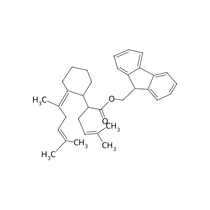 CC(C)=CC/C(C)=C1/CCCCC1C(CC=C(C)C)C(=O)OCC1c2ccccc2-c2ccccc21